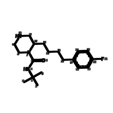 CC(C)(C)NC(=O)N1CCNCC1CCCCc1ccc(F)cc1